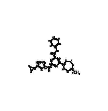 CN1CCCN(c2nc(NCc3ccccc3)nc(Nc3cc(C4CC4)[nH]n3)n2)CC1